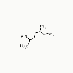 CC(CN)CCC(N)C(=O)O